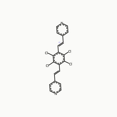 Clc1c(Cl)c(/C=C/c2ccncc2)c(Cl)c(Cl)c1C=Cc1ccncc1